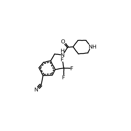 N#Cc1ccc(CNC(=O)C2CCNCC2)c(C(F)(F)F)c1